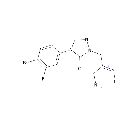 NC/C(=C\F)Cn1ncn(-c2ccc(Br)c(F)c2)c1=O